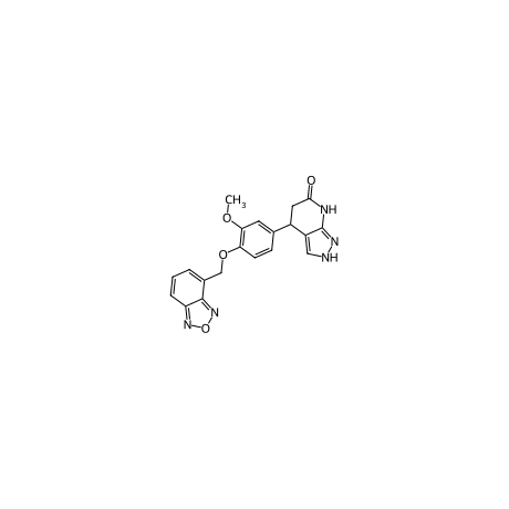 COc1cc(C2CC(=O)Nc3n[nH]cc32)ccc1OCc1cccc2nonc12